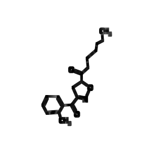 CCCCCCC(=O)C1CC(C(=O)c2ccccc2C)=NO1